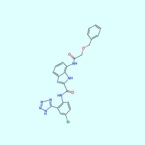 O=C(COCc1ccccc1)Nc1cccc2cc(C(=O)Nc3ccc(Br)cc3-c3nnn[nH]3)[nH]c12